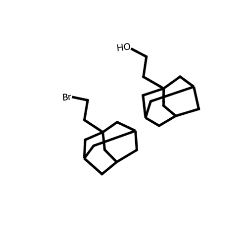 BrCCC12CC3CC(CC(C3)C1)C2.OCCC12CC3CC(CC(C3)C1)C2